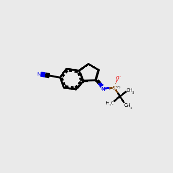 CC(C)(C)[S@@+]([O-])N=C1CCc2cc(C#N)ccc21